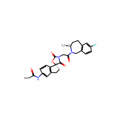 CNC(=O)Nc1ccc2c(c1)CC[C@@]21OC(=O)N(CC(=O)N2Cc3ccc(F)cc3CC[C@@H]2C(F)(F)F)C1=O